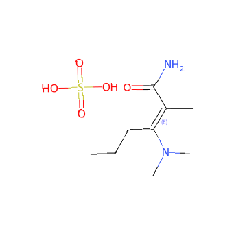 CCC/C(=C(/C)C(N)=O)N(C)C.O=S(=O)(O)O